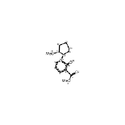 COC(=O)c1cccn([C@@H]2CCCC[C@@H]2OC)c1=O